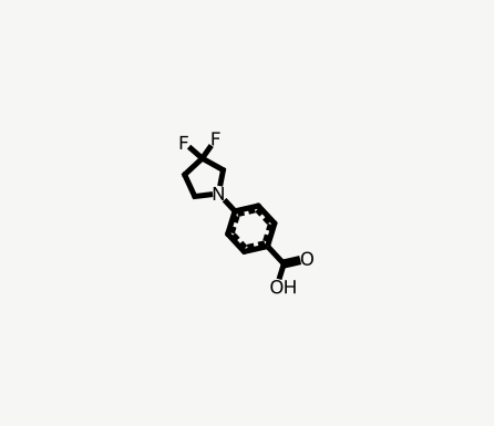 O=C(O)c1ccc(N2CCC(F)(F)C2)cc1